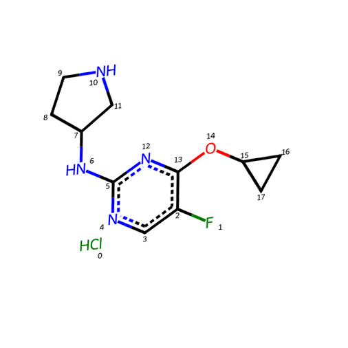 Cl.Fc1cnc(NC2CCNC2)nc1OC1CC1